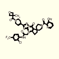 CC1(C(=O)N2CC=C(c3nc4n(CC(=O)Nc5ccc(C(F)(F)F)cc5Cl)c5c(c(=O)n4n3)C3(CC5)CCN(C(=O)c4ncccc4O)CC3)CC2)COC1